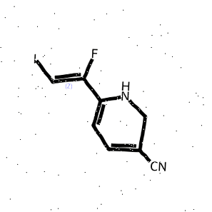 N#CC1=CC=C(/C(F)=C/I)NC1